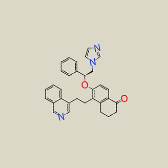 O=C1CCCc2c1ccc(O[C@H](Cn1ccnc1)c1ccccc1)c2CCc1cncc2ccccc12